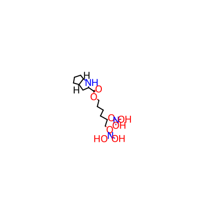 O=C(OCCCCC(CON(O)O)ON(O)O)C1C[C@@H]2CCC[C@@H]2N1